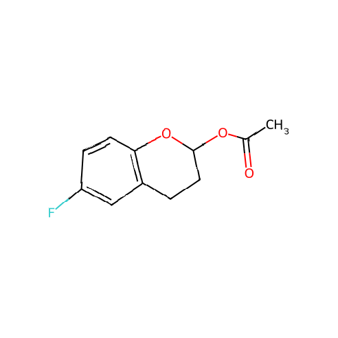 CC(=O)OC1CCc2cc(F)ccc2O1